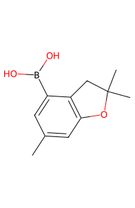 Cc1cc2c(c(B(O)O)c1)CC(C)(C)O2